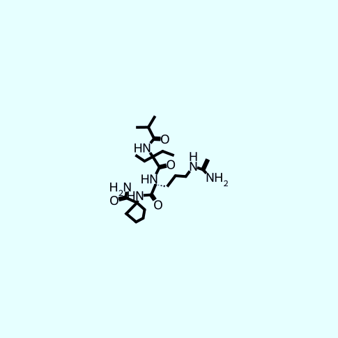 C=C(N)NCCC[C@@H](NC(=O)C(CC)(CC)NC(=O)C(C)C)C(=O)NC1(C(N)=O)CCCC1